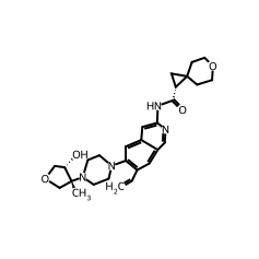 C=Cc1cc2cnc(NC(=O)[C@@H]3CC34CCOCC4)cc2cc1N1CCN([C@]2(C)COC[C@@H]2O)CC1